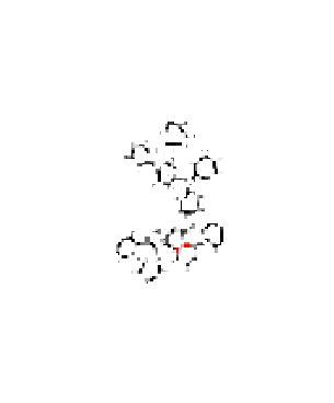 c1ccc(-c2ccccc2N(c2ccc(N(c3ccccc3)c3ccc4c5ccccc5n(-c5ccccc5)c4c3)cc2)c2ccc3c(c2)sc2c4ccccc4c4ccccc4c32)cc1